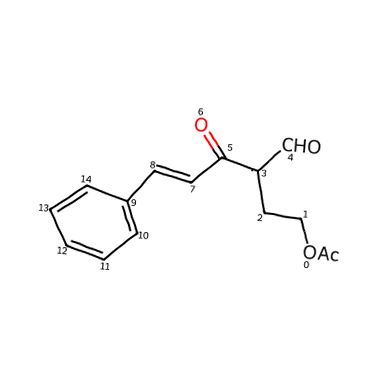 CC(=O)OCC[C](C=O)C(=O)C=Cc1ccccc1